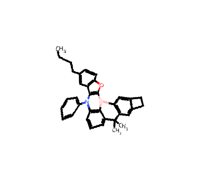 CCCCc1ccc2oc3c(c2c1)N(c1ccccc1)c1cccc2c1B3c1cc3c(cc1C2(C)C)CC3